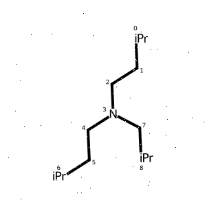 CC(C)CCN(CCC(C)C)CC(C)C